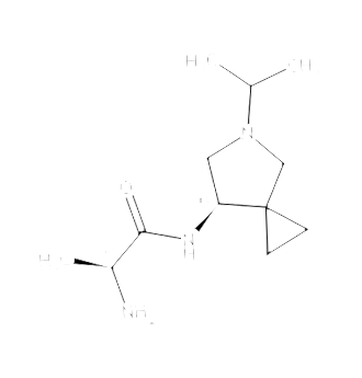 CC(C)N1C[C@H](NC(=O)[C@H](C)N)C2(CC2)C1